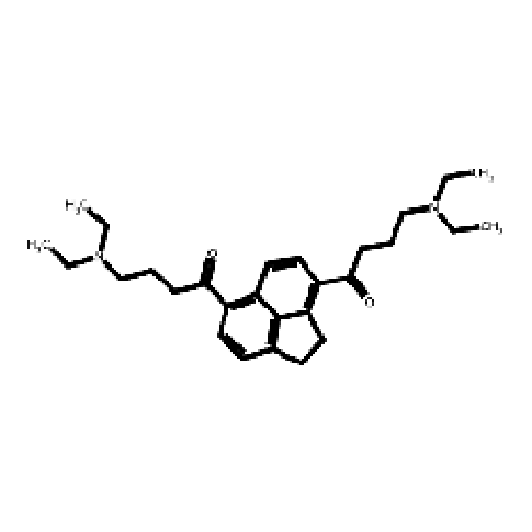 CCN(CC)CCCC(=O)c1ccc2c(C(=O)CCCN(CC)CC)ccc3c2c1CC3